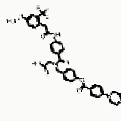 COc1ccc(CC(=O)Nc2ccc(C(=O)N(CC(=O)O)Cc3ccc(OC(=O)c4ccc(N5CCS(=O)(=O)CC5)cc4)cc3)cc2)c(C(F)(F)F)c1